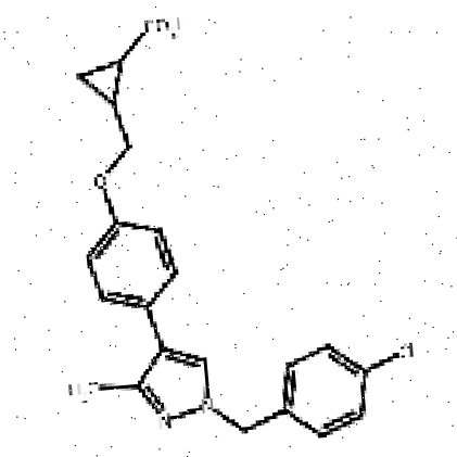 Cc1nn(Cc2ccc(Cl)cc2)cc1-c1ccc(OCC2CC2C(=O)O)cc1